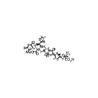 COC(=O)C1=C(CN2CCN3C(=O)N(c4ccc(CC(C)(C)C(=O)O)cc4)C[C@@H]3C2)NC(c2nccs2)=N[C@H]1c1ccc(F)cc1Cl